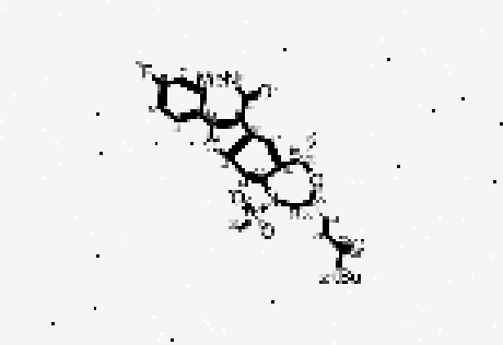 CNC(=O)c1c(-c2ccc(F)cc2)oc2cc3c(cc12)[C@H](C)O[C@H](CCC(=O)C(C)(C)C)CN3S(C)(=O)=O